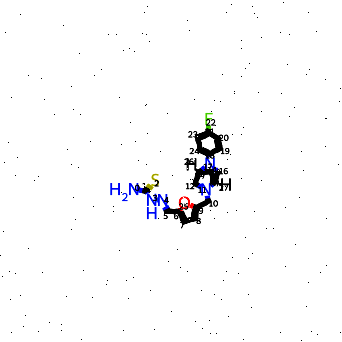 NC(=S)NN=Cc1ccc(CN2C[C@@H]3C[C@H]2CN3c2ccc(F)cc2)o1